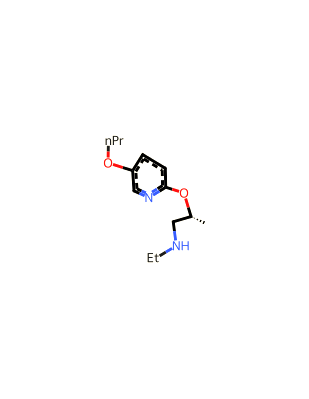 CCCOc1ccc(O[C@H](C)CNCC)nc1